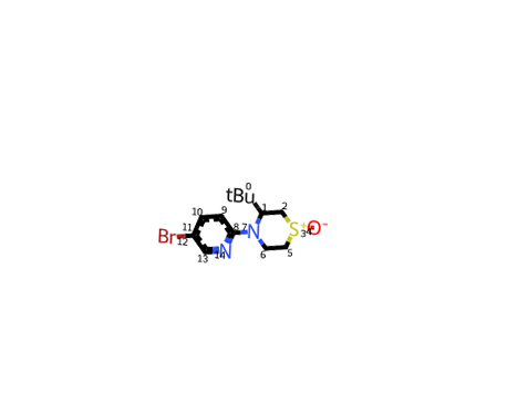 CC(C)(C)C1C[S+]([O-])CCN1c1ccc(Br)cn1